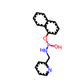 OP(NCc1ccccn1)Oc1cccc2ccccc12